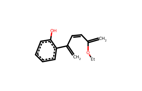 C=C(/C=C\C(=C)c1ccccc1O)OCC